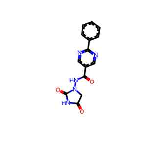 O=C1CN(NC(=O)c2cnc(-c3ccccc3)nc2)C(=O)N1